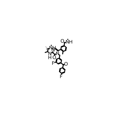 CNC(=O)c1ccc(C)c(-c2cnc(NC(C)[C@H](C)NC)c(=O)n2Cc2cc(F)cc(C(=O)c3ccc(F)cc3)c2)c1